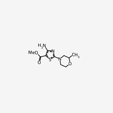 COC(=O)c1sc(N2CCOC(C)C2)nc1N